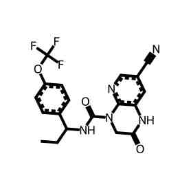 CCC(NC(=O)N1CC(=O)Nc2cc(C#N)cnc21)c1ccc(OC(F)(F)F)cc1